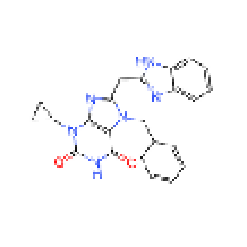 O=c1[nH]c(=O)n(C2CC2)c2nc(Cc3nc4ccccc4[nH]3)n(CC3C=CC=CC3)c12